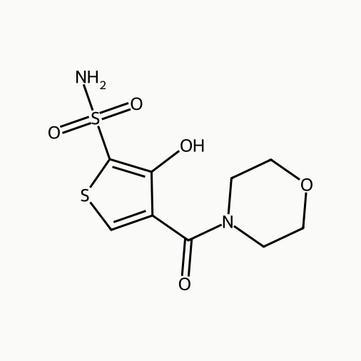 NS(=O)(=O)c1scc(C(=O)N2CCOCC2)c1O